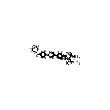 C[C@@H](O)[C@H](NC(=O)c1ccc(-c2cnc(-c3ccc(CN4CCOCC4)cc3)nc2)cc1)C(N)=O